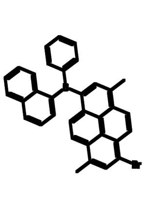 Cc1cc(Br)c2ccc3c(C)cc(B(c4ccccc4)c4cccc5ccccc45)c4ccc1c2c34